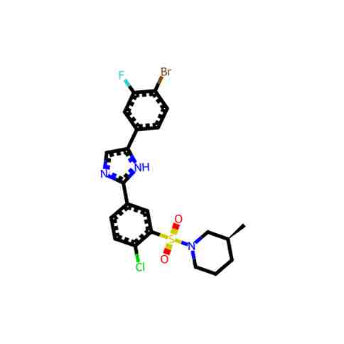 C[C@H]1CCCN(S(=O)(=O)c2cc(-c3ncc(-c4ccc(Br)c(F)c4)[nH]3)ccc2Cl)C1